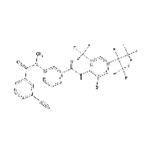 CN(C(=O)c1cccc(C#N)c1)c1cccc(C(=O)Nc2c(Br)cc(C(F)(C(F)(F)F)C(F)(F)F)cc2C(F)(F)F)c1